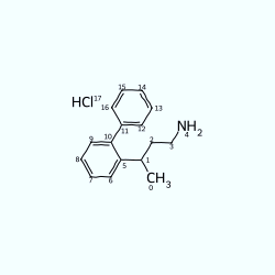 CC(CCN)c1ccccc1-c1ccccc1.Cl